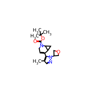 Cc1cnn(C2COC2)c1C1=CCN(C(=O)OC(C)(C)C)C2CC12